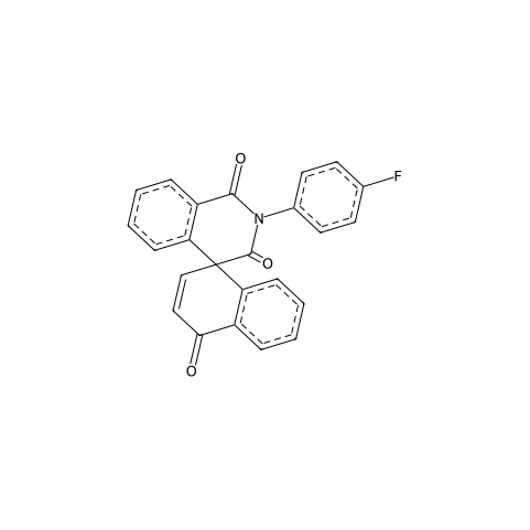 O=C1C=CC2(C(=O)N(c3ccc(F)cc3)C(=O)c3ccccc32)c2ccccc21